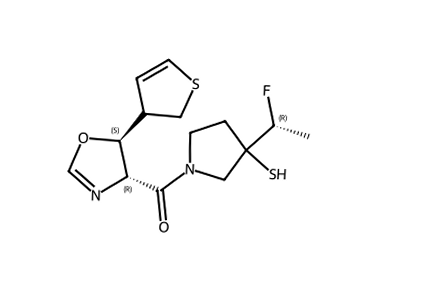 C[C@@H](F)C1(S)CCN(C(=O)[C@@H]2N=CO[C@H]2C2C=CSC2)C1